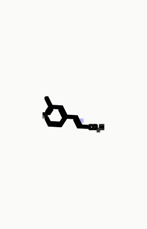 Cc1cc(/C=C/C(=O)O)ccn1